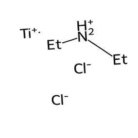 CC[NH2+]CC.[Cl-].[Cl-].[Ti+]